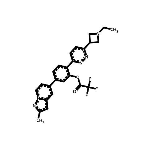 CCN1CC(c2ccc(-c3ccc(-c4ccn5nc(C)cc5c4)cc3OC(=O)C(F)(F)F)nn2)C1